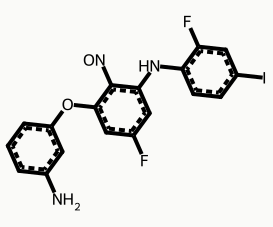 Nc1cccc(Oc2cc(F)cc(Nc3ccc(I)cc3F)c2N=O)c1